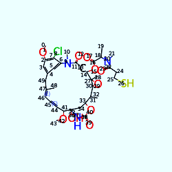 COc1cc2cc(c1Cl)N(C)C(=O)CC(OC(=O)C(C)N(C)C(=O)CCS)C1(C)OC1C(C)C1CC(O)(NC(=O)O1)C(OC)/C=C/C=C(\C)C2